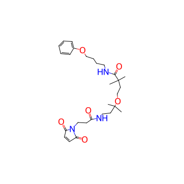 CC(C)(CCNC(=O)CCN1C(=O)C=CC1=O)OCCC(C)(C)C(=O)NCCCCOc1ccccc1